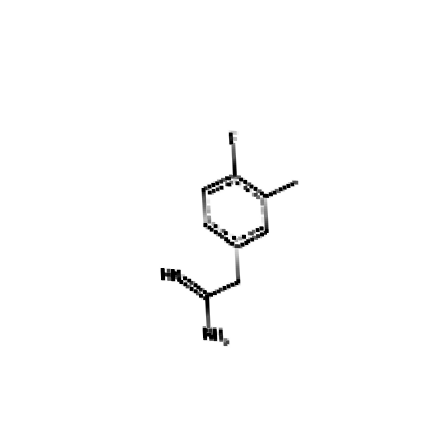 Cc1cc(CC(=N)N)ccc1F